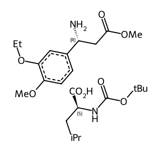 CC(C)C[C@H](NC(=O)OC(C)(C)C)C(=O)O.CCOc1cc([C@H](N)CC(=O)OC)ccc1OC